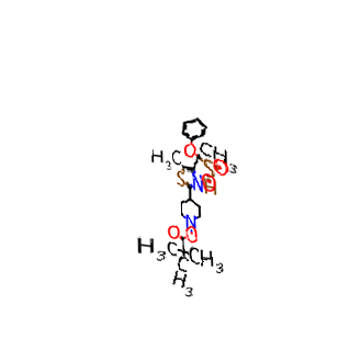 Cc1sc(C2CCN(OC(=O)C(C)(C)C)CC2)nc1C(C)(Oc1ccccc1)[SH](=O)=O